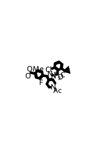 COC(=O)c1ccc(-c2nn(C(=O)c3c(Cl)cccc3C3(C(F)(F)F)CC3)c3c2CCN(C(C)=O)C3)c(F)c1